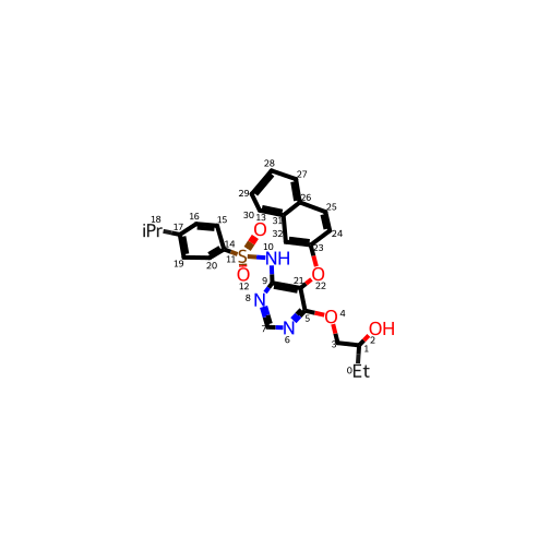 CCC(O)COc1ncnc(NS(=O)(=O)c2ccc(C(C)C)cc2)c1Oc1ccc2ccccc2c1